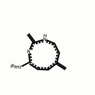 C=c1cc[nH]c(=C)nc(C(C)CCC)cc1